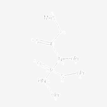 CCCNP(=O)(SCCC)N(CCC)C(=S)CSC